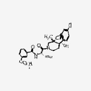 CC[C@@H](C)[C@@H](NC(=O)c1cccc(C(=O)O)c1)C(=O)N1CC[C@](O)(c2ccc(Cl)cc2)C(C)(C)C1